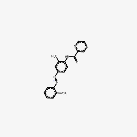 Cc1ccccc1/N=N/c1ccc(NC(=O)c2cnccn2)c(C)c1